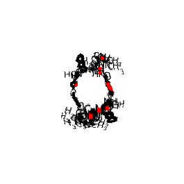 CN[C@@H](C)C(=O)N[C@H](C(=O)N1C[C@@H]2C[C@H]1C(=O)N[C@@H](Cc1ccc3ccccc3c1)C(=O)N[C@H](C(=O)O)Cc1ccc(cc1)OC/C=C/CO[C@H]1C[C@@H](C(=O)N[C@@H](Cc3ccc4ccccc4c3)C(=O)N[C@H](C(=O)O)Cc3ccc(cc3)C(=O)N2)N(C(=O)[C@@H](NC(=O)[C@H](C)N(C)C(C)=O)C(C)(C)C)C1)C(C)(C)C